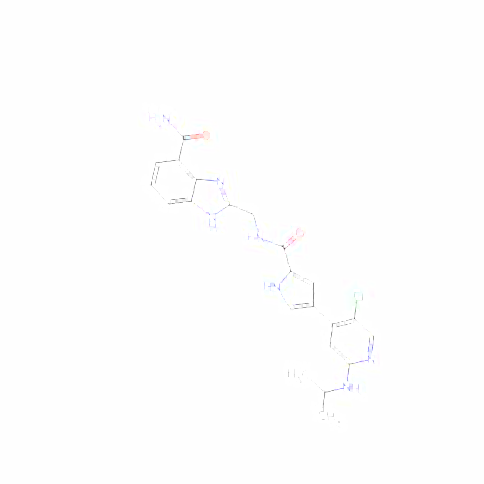 CC(C)Nc1cc(-c2c[nH]c(C(=O)NCc3nc4c(C(N)=O)cccc4[nH]3)c2)c(Cl)cn1